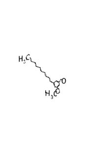 CCCCCCCCCCCc1cc(C=O)cc(OC)c1